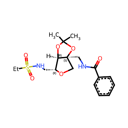 CCS(=O)(=O)NC[C@H]1OC[C@]2(CNC(=O)c3ccccc3)OC(C)(C)O[C@H]12